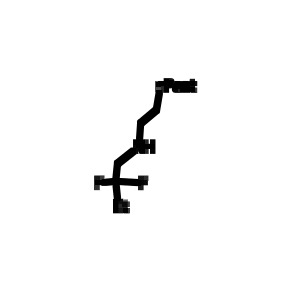 CCCCCCCNCC(F)(F)CC